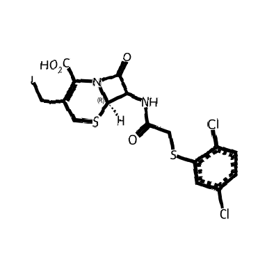 O=C(CSc1cc(Cl)ccc1Cl)NC1C(=O)N2C(C(=O)O)=C(CI)CS[C@H]12